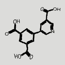 O=C(O)c1cncc(-c2cc(C(=O)O)cc(C(=O)O)c2)c1